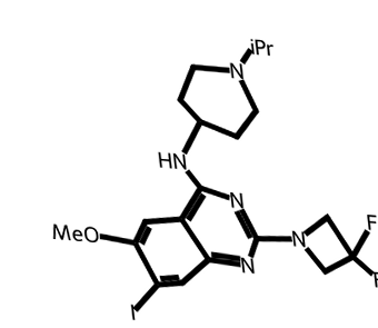 COc1cc2c(NC3CCN(C(C)C)CC3)nc(N3CC(F)(F)C3)nc2cc1I